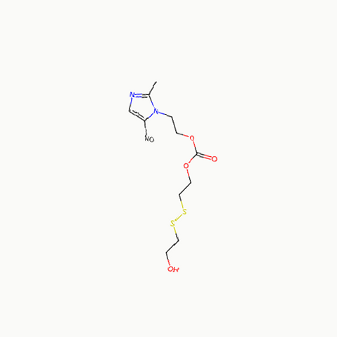 Cc1ncc(N=O)n1CCOC(=O)OCCSSCCO